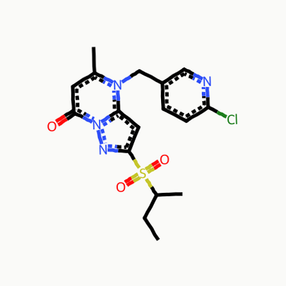 CCC(C)S(=O)(=O)c1cc2n(Cc3ccc(Cl)nc3)c(C)cc(=O)n2n1